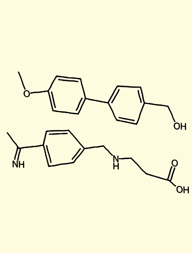 CC(=N)c1ccc(CNCCC(=O)O)cc1.COc1ccc(-c2ccc(CO)cc2)cc1